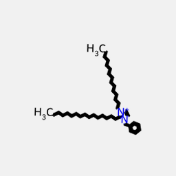 CCCCCCCCCCCCCCCCc1n(Cc2ccccc2)cc[n+]1CCCCCCCCCCCCCCC